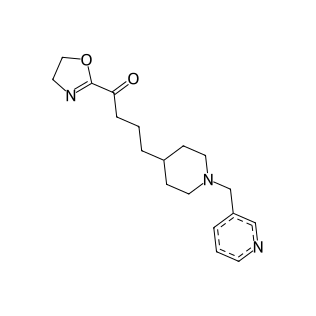 O=C(CCCC1CCN(Cc2cccnc2)CC1)C1=NCCO1